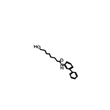 O=C(CCCCCCCO)Nc1cccc(-c2ccccc2)c1